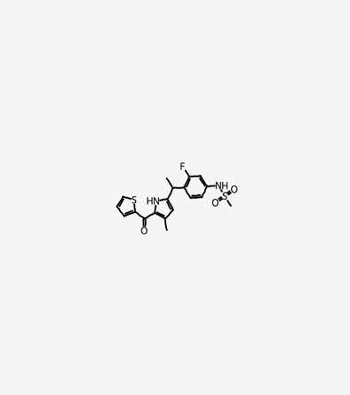 Cc1cc(C(C)c2ccc(NS(C)(=O)=O)cc2F)[nH]c1C(=O)c1cccs1